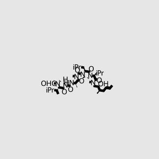 C/C=C/C[C@@H](C)[C@@H](O)CN(C)C(=O)[C@H](C(C)C)N(C)C(=O)[C@H](CC(C)C)N(C)C(=O)N(C)C(=O)[C@H](C)NC(=O)NC(=O)[C@H](C(C)C(C)C)N(C)C=O